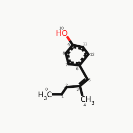 CC[CH]C(C)=Cc1ccc(O)cc1